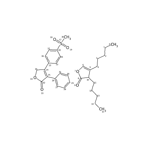 CCCCCC1=COC(=O)C1CCCCC.CS(=O)(=O)c1ccc(C2=C(c3ccccc3)C(=O)OC2)cc1